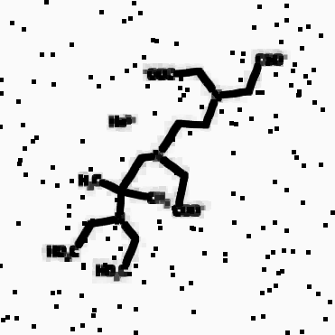 CC(C)(CN(CCN(CC(=O)[O-])CC(=O)[O-])CC(=O)[O-])N(CC(=O)O)CC(=O)O.[Ho+3]